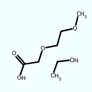 CCO.COCCOCC(=O)O